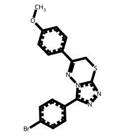 COc1ccc(C2=Nn3c(nnc3-c3ccc(Br)cc3)SC2)cc1